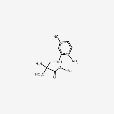 CC(C)(C)OC(=O)C(N)(CNc1cc(C#N)ccc1[N+](=O)[O-])C(=O)O